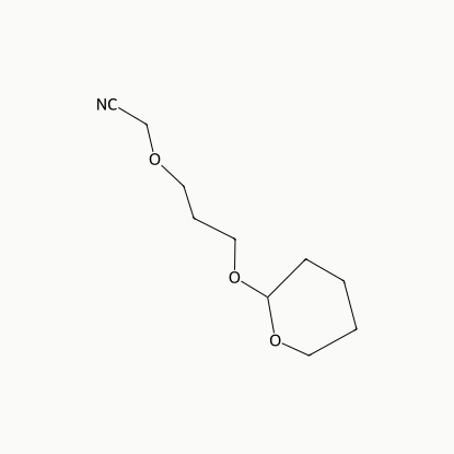 N#CCOCCCOC1CCCCO1